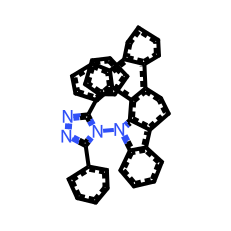 c1ccc(-c2nnc(-c3ccccc3)n2-n2c3ccccc3c3ccc4c5ccccc5c5ccccc5c4c32)cc1